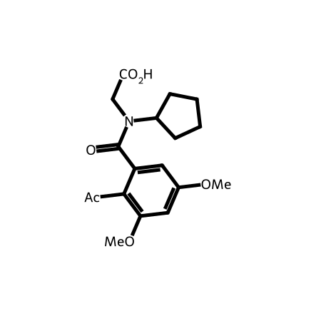 COc1cc(OC)c(C(C)=O)c(C(=O)N(CC(=O)O)C2CCCC2)c1